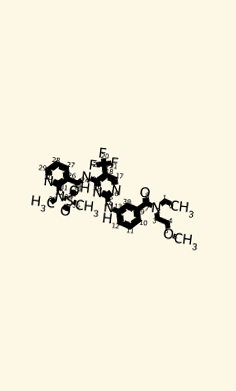 CCN(CCOC)C(=O)c1cccc(Nc2ncc(C(F)(F)F)c(NCc3cccnc3N(C)S(C)(=O)=O)n2)c1